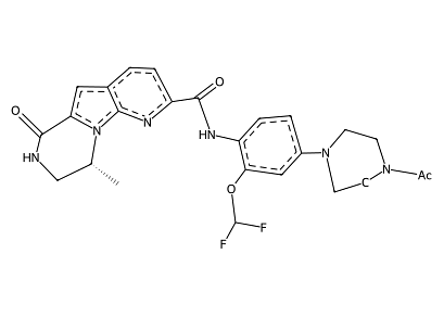 CC(=O)N1CCN(c2ccc(NC(=O)c3ccc4cc5n(c4n3)[C@H](C)CNC5=O)c(OC(F)F)c2)CC1